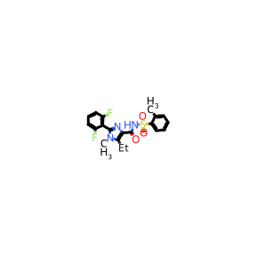 CCc1c(C(=O)NS(=O)(=O)c2ccccc2C)nc(-c2c(F)cccc2F)n1C